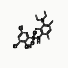 CCN(CC)c1c(C)cc(C)c(NS(=O)(=O)c2cc(Cl)cc(Cl)c2O)c1C